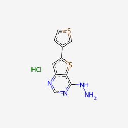 Cl.NNc1ncnc2cc(-c3ccsc3)sc12